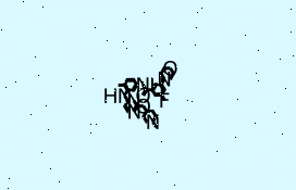 Cc1ccc(NC(=O)c2cc(F)cc(N3CCOCC3)c2)cc1Nc1ccnc(OC2CCN(C)CC2)n1